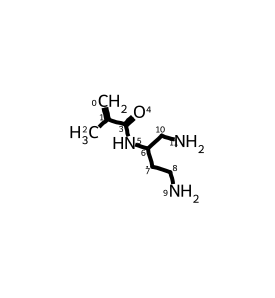 C=C(C)C(=O)NC([CH]CN)CN